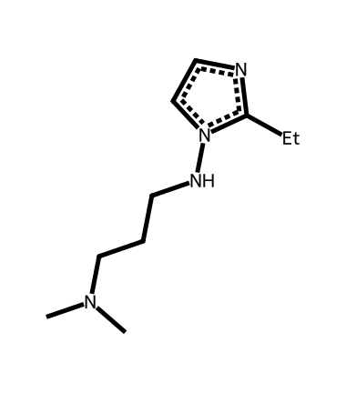 CCc1nccn1NCCCN(C)C